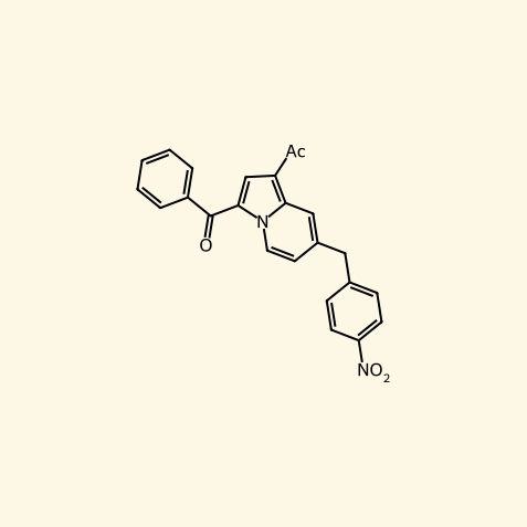 CC(=O)c1cc(C(=O)c2ccccc2)n2ccc(Cc3ccc([N+](=O)[O-])cc3)cc12